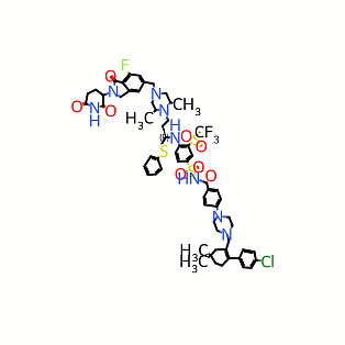 CC1CN(Cc2cc(F)c3c(c2)CN(C2CCC(=O)NC2=O)C3=O)CC(C)N1CC[C@H](CSc1ccccc1)Nc1ccc(S(=O)(=O)NC(=O)c2ccc(N3CCN(CC4=C(c5ccc(Cl)cc5)CCC(C)(C)C4)CC3)cc2)cc1S(=O)(=O)C(F)(F)F